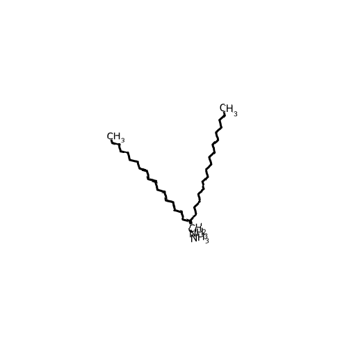 C=C(CCCCCCCCCCCCCCCCCC)CCCCCCCCCCCCCCCCCC.N.N